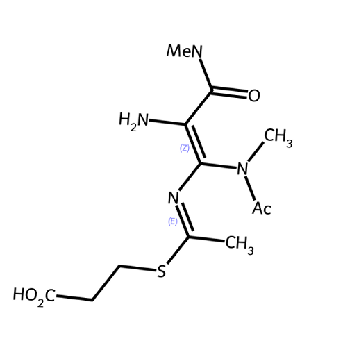 CNC(=O)/C(N)=C(/N=C(\C)SCCC(=O)O)N(C)C(C)=O